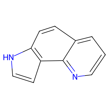 c1cnc2c(c1)ccc1[nH]ccc12